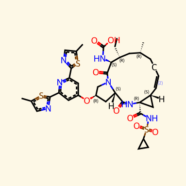 CC[C@@H]1C[C@H](C)CC/C=C\[C@@H]2C[C@@]2(C(=O)NS(=O)(=O)C2CC2)NC(=O)[C@@H]2C[C@@H](Oc3cc(-c4ncc(C)s4)nc(-c4ncc(C)s4)c3)CN2C(=O)[C@H]1NC(=O)O